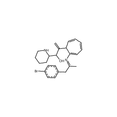 C=C(C1C=CC=CC=C1/N=C(\C)Cc1ccc(Br)cc1)C(O)C1CCCCN1